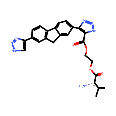 CC(C)[C@H](N)C(=O)OCCOC(=O)c1[nH]nnc1-c1ccc2c(c1)Cc1cc(-c3c[nH]nn3)ccc1-2